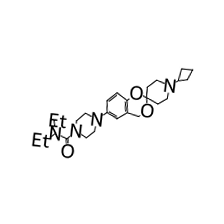 CCN(CC)C(=O)N1CCN(c2ccc3c(c2)COC2(CCN(C4CCC4)CC2)O3)CC1